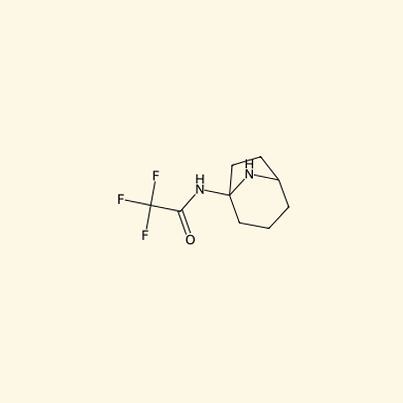 O=C(NC12CCCC(CC1)N2)C(F)(F)F